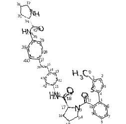 Cc1ccc(-c2ccccc2C(=O)N2CCC[C@H]2C(=O)Nc2ccc(/C=C/c3ccc(NC(=O)[C@@H]4CCCN4)cc3)cc2)s1